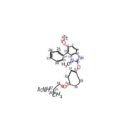 CCOc1ccc2nc(O[C@H]3CC[C@H](OC[C@H](C)NC(C)=O)CC3)n(C)c2c1-c1ccccc1